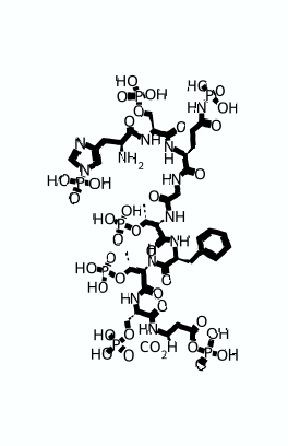 C[C@@H](OP(=O)(O)O)[C@H](NC(=O)CNC(=O)[C@H](CCC(=O)NP(=O)(O)O)NC(=O)[C@H](COP(=O)(O)O)NC(=O)[C@@H](N)Cc1cn(P(=O)(O)O)cn1)C(=O)N[C@@H](Cc1ccccc1)C(=O)N[C@H](C(=O)N[C@@H](COP(=O)(O)O)C(=O)N[C@@H](CC(=O)OP(=O)(O)O)C(=O)O)[C@@H](C)OP(=O)(O)O